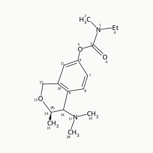 CCN(C)C(=O)Oc1ccc2c(c1)CO[C@H](C)C2N(C)C